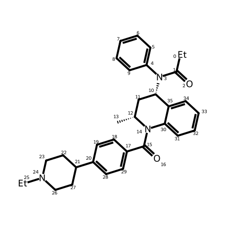 CCC(=O)N(c1ccccc1)[C@H]1C[C@@H](C)N(C(=O)c2ccc(C3CCN(CC)CC3)cc2)c2ccccc21